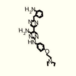 CCN(CC)CCOc1ccc(Nc2ncc(-c3cnc(Cc4ccccc4N)nc3)c(N)n2)cc1